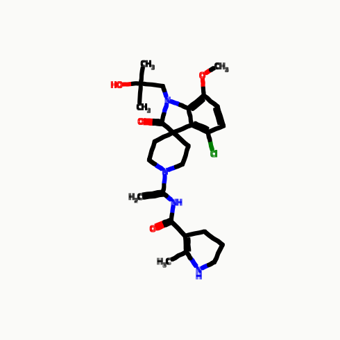 C=C(NC(=O)C1=C(C)NCCC1)N1CCC2(CC1)C(=O)N(CC(C)(C)O)c1c(OC)ccc(Cl)c12